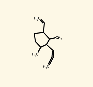 C=C=CC1C(C)CCC(C=C)C1C